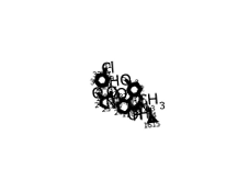 Cc1ccc(O)c2c1[C@]13CC4[C@@H](N4CC4CC4)[C@]1(O)CC[C@@H](N1CCC(Oc4ccc(Cl)cc4)C1=O)[C@@H]3O2